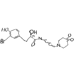 O=C(N=C=C=CN1CCS(=O)(=O)CC1)[C@H](O)Cc1ccc(O)c(Br)c1